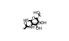 CC(=O)N[C@H]1C(S)O[C@H](CO)[C@H](O)[C@@H]1O